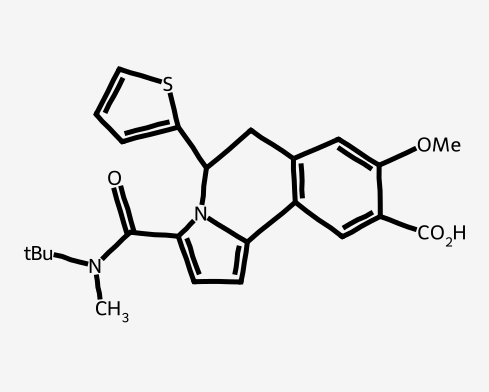 COc1cc2c(cc1C(=O)O)-c1ccc(C(=O)N(C)C(C)(C)C)n1C(c1cccs1)C2